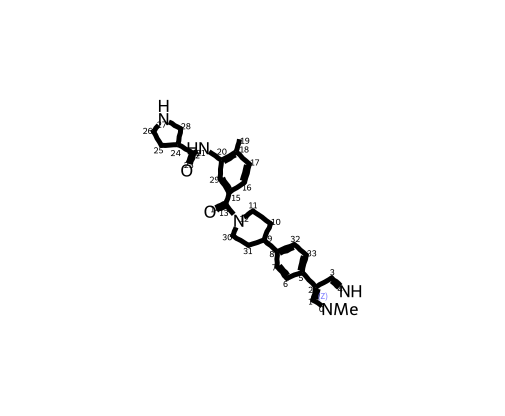 CN/C=C(\C=N)c1ccc(C2CCN(C(=O)c3ccc(C)c(NC(=O)C4CCNC4)c3)CC2)cc1